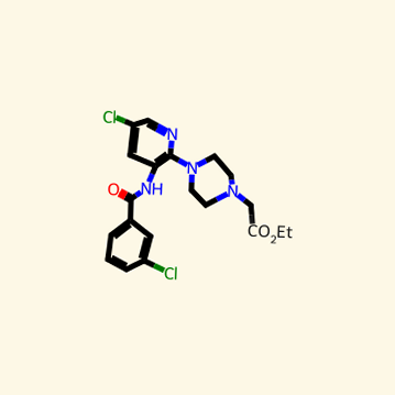 CCOC(=O)CN1CCN(c2ncc(Cl)cc2NC(=O)c2cccc(Cl)c2)CC1